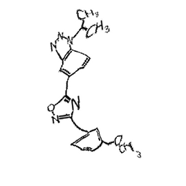 COc1cccc(-c2noc(-c3ccc4c(c3)nnn4C(C)C)n2)c1